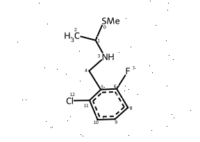 CSC(C)NCc1c(F)cccc1Cl